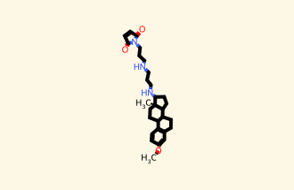 COc1ccc2c(c1)CCC1C2CC[C@]2(C)C(NCCCNCCCN3C(=O)C=CC3=O)CCC12